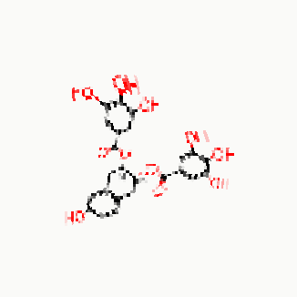 O=C(O[C@H]1Cc2cc(O)ccc2C[C@H]1OC(=O)c1cc(O)c(O)c(O)c1)c1cc(O)c(O)c(O)c1